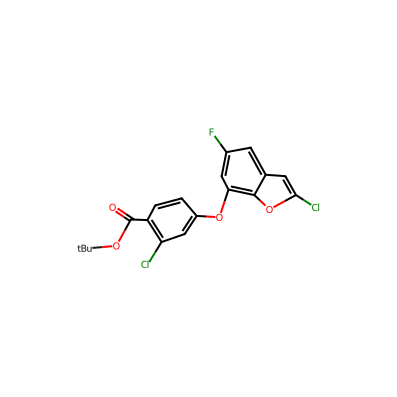 CC(C)(C)OC(=O)c1ccc(Oc2cc(F)cc3cc(Cl)oc23)cc1Cl